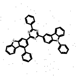 c1ccc(-c2nc(-c3cc(-c4ccccc4)c4c(c3)sc3ccccc34)nc(-c3ccc4c(c3)c3ccccc3n4-c3ccccc3)n2)cc1